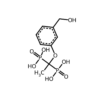 CC(Oc1cccc(CO)c1)(P(=O)(O)O)P(=O)(O)O